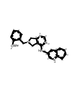 COc1ccccc1CN1Cc2ncnc(Nc3cnc4ccccc4c3)c2C1